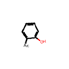 CC(=O)c1c[c]ccc1O